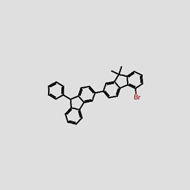 CC1(C)c2cc(-c3ccc4c(c3)-c3ccccc3C4c3ccccc3)ccc2-c2c(Br)cccc21